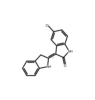 O=C1Nc2ccc(Cl)cc2/C1=C1\Cc2ccccc2N1